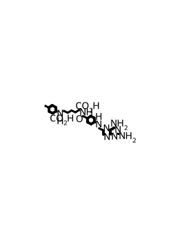 Cc1ccc(NCCCC[C@H](NC(=O)c2ccc(NCc3cnc4nc(N)nc(N)c4n3)cc2)C(=O)O)c(C(=O)O)c1